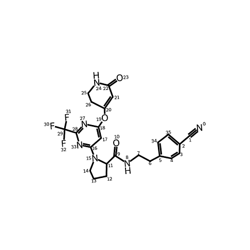 N#Cc1ccc(CCNC(=O)C2CCCN2c2cc(OC3=CC(=O)NCC3)nc(C(F)(F)F)n2)cc1